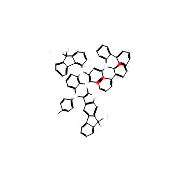 CC(C)(C)c1ccc(N2c3cccc4c3B(c3ccc(N(c5ccccc5-c5ccccc5)c5ccccc5-c5ccccc5)cc3N4c3cccc4c3-c3ccccc3C4(C)C)c3sc4cc5c(cc4c32)-c2ccccc2C5(C)C)cc1